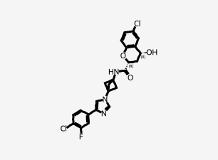 O=C(NC12CC(n3cnc(-c4ccc(Cl)c(F)c4)c3)(C1)C2)[C@H]1C[C@@H](O)c2cc(Cl)ccc2O1